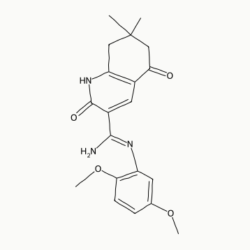 COc1ccc(OC)c(N=C(N)c2cc3c([nH]c2=O)CC(C)(C)CC3=O)c1